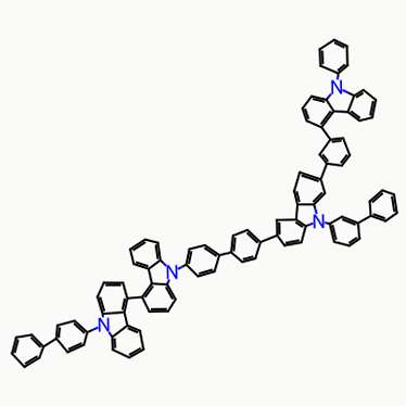 c1ccc(-c2ccc(-n3c4ccccc4c4c(-c5cccc6c5c5ccccc5n6-c5ccc(-c6ccc(-c7ccc8c(c7)c7ccc(-c9cccc(-c%10cccc%11c%10c%10ccccc%10n%11-c%10ccccc%10)c9)cc7n8-c7cccc(-c8ccccc8)c7)cc6)cc5)cccc43)cc2)cc1